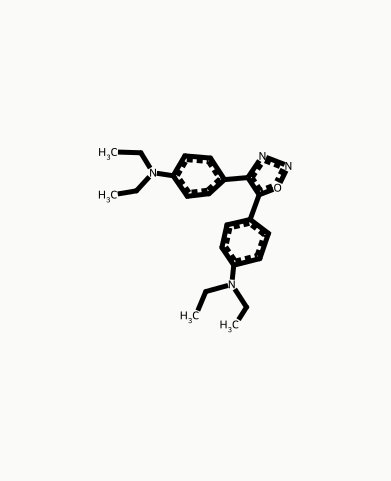 CCN(CC)c1ccc(-c2nnoc2-c2ccc(N(CC)CC)cc2)cc1